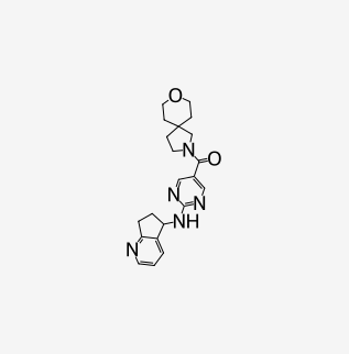 O=C(c1cnc(NC2CCc3ncccc32)nc1)N1CCC2(CCOCC2)C1